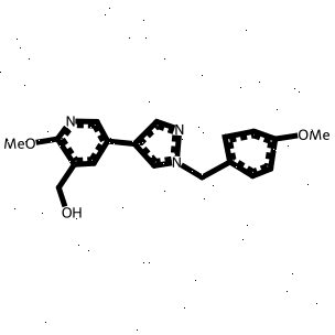 COc1ccc(Cn2cc(-c3cnc(OC)c(CO)c3)cn2)cc1